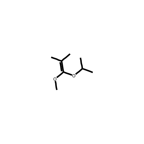 COC(OC(C)C)=C(C)C